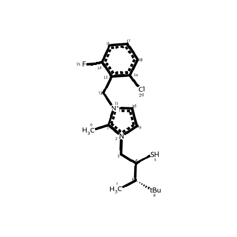 Cc1n(CC(S)[C@@H](C)C(C)(C)C)cc[n+]1Cc1c(F)cccc1Cl